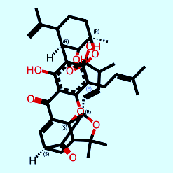 C=C(C)C1CC[C@@]2(C)Oc3c(CC=C(C)C)c4c(c(O)c3[C@@H]1C2O)C(=O)C1=C[C@@H]2CC3C(C)(C)O[C@@](/C=C/C(C)C(=O)O)(C2=O)[C@@]13O4